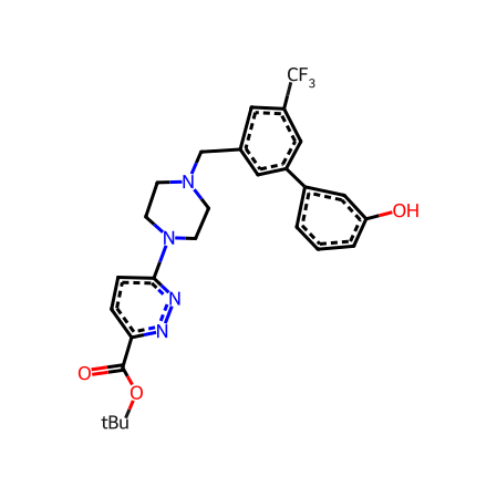 CC(C)(C)OC(=O)c1ccc(N2CCN(Cc3cc(-c4cccc(O)c4)cc(C(F)(F)F)c3)CC2)nn1